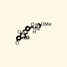 COc1cnc(NC(=O)c2ccc(CN3C(=O)c4ccc(Cl)cc4NC(=O)C3C)cc2)nc1